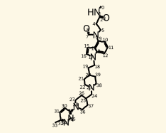 CNC(=O)CCN(C=O)c1cccc2c1ccn2CCC1CCN(CC2CCN(c3ccc(C)nn3)CC2)CC1